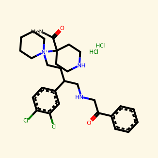 CNC(=O)C1([N+]2(CCC(CNCC(=O)c3ccccc3)c3ccc(Cl)c(Cl)c3)CCCCC2)CCNCC1.Cl.Cl